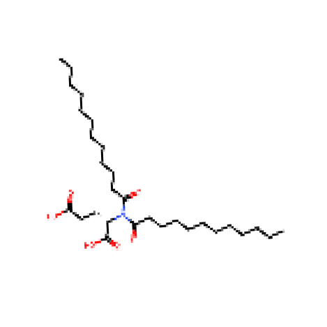 CCCCCCCCCCCC(=O)N(C(=O)CCCCCCCCCCC)[C@@H](CCC(=O)O)C(=O)O